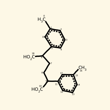 Cc1cccc(C(CCC(C(=O)O)c2cccc(C)c2)C(=O)O)c1